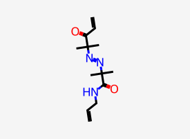 C=CCNC(=O)C(C)(C)N=NC(C)(C)C(=O)C=C